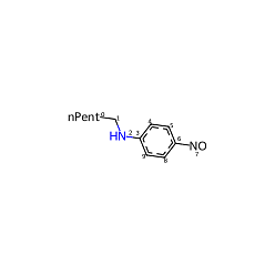 CCCCCCNc1ccc(N=O)cc1